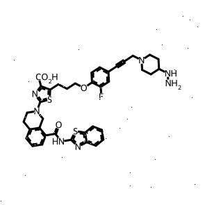 NNC1CCN(CC#Cc2ccc(OCCCc3sc(N4CCc5cccc(C(=O)Nc6nc7ccccc7s6)c5C4)nc3C(=O)O)c(F)c2)CC1